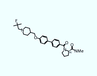 CNC(=O)[C@H]1CCCN1C(=O)c1ccc(-c2ccc(OCC3CCN(CC(C)(C)F)CC3)cc2)cc1